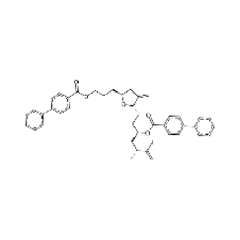 C=C(I)[C@H](C)C[C@@H](CC[C@@H]1O[C@@H](CCCOC(=O)c2ccc(-c3ccccc3)cc2)CC1=C)OC(=O)c1ccc(-c2ccccc2)cc1